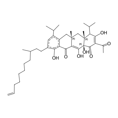 C=CCCCCCCC(C)CCc1cc(C(C)C)c2c(c1O)C(=O)C1=C(O)[C@@]3(O)C(=O)C(C(C)=O)=C(O)C(C(C)C)[C@@]3(C)C[C@@]1(C)C2